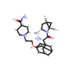 N#C[C@@H]1C[C@@H]2C[C@@H]2N1C(=O)[C@@H](N)C12CC3CC(CC(OCCN4CCC(C(N)=O)CC4)(C3)C1)C2